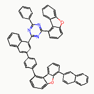 c1ccc(-c2nc(-c3cc(-c4ccc(-c5cccc6oc7c(-c8ccc9ccccc9c8)cccc7c56)cc4)cc4ccccc34)nc(-c3cccc4oc5ccccc5c34)n2)cc1